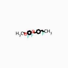 CCOc1ccc(OCC2CCC(/C=C(/C)F)CC2)c(F)c1F